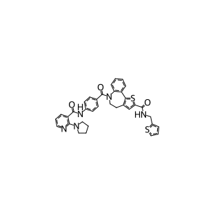 O=C(NCc1cccs1)c1cc2c(s1)-c1ccccc1N(C(=O)c1ccc(NC(=O)c3cccnc3N3CCCC3)cc1)CC2